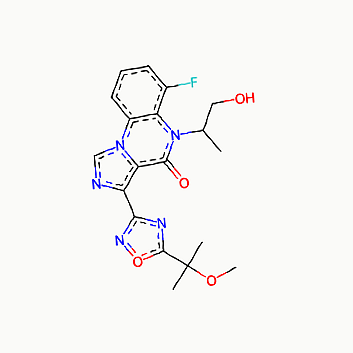 COC(C)(C)c1nc(-c2ncn3c2c(=O)n(C(C)CO)c2c(F)cccc23)no1